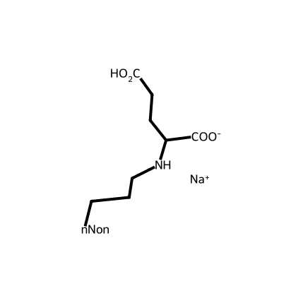 CCCCCCCCCCCCNC(CCC(=O)O)C(=O)[O-].[Na+]